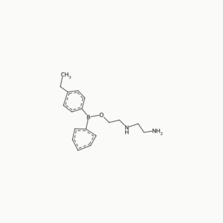 CCc1ccc(B(OCCNCCN)c2ccccc2)cc1